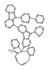 C=C1/C=C\C=C/Cc2ccccc2C1(c1ccccc1)c1ccc2c(c1)c1cc(-c3cccc4c5ccccc5n(-c5ccc(-c6ccccc6)cc5)c34)ccc1n2-c1ccccc1